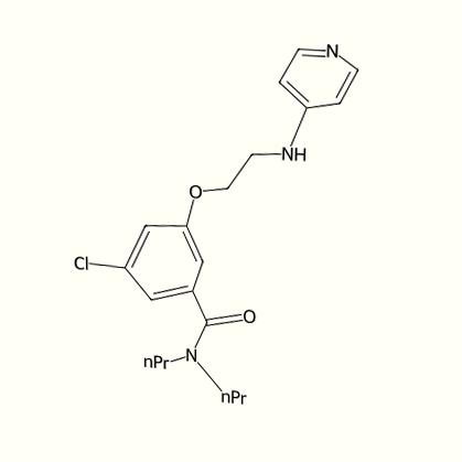 CCCN(CCC)C(=O)c1cc(Cl)cc(OCCNc2ccncc2)c1